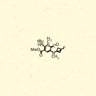 COC(=O)C1=C(NC(C)(C)C)N(C)C(=C=O)C(N(C)C23CC(F)(C2)C3)=C1